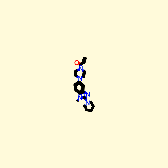 C=CC(=O)N1CCN(c2ccc3c(c2)nc(N2CCCCC2)n3C)CC1